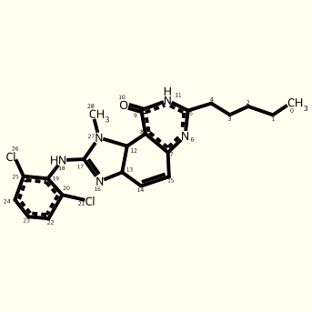 CCCCCc1nc2c(c(=O)[nH]1)C1C(C=C2)N=C(Nc2c(Cl)cccc2Cl)N1C